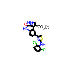 CCOC(=O)c1c[nH]c2c(=O)[nH]c3ccc(-c4csc(Nc5c(Cl)cccc5Cl)n4)cc3c12